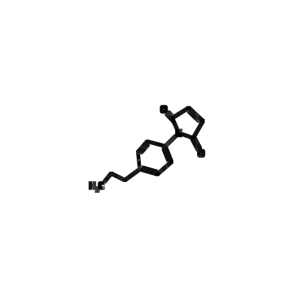 CCCc1ccc(N2C(=O)C=CC2=O)cc1